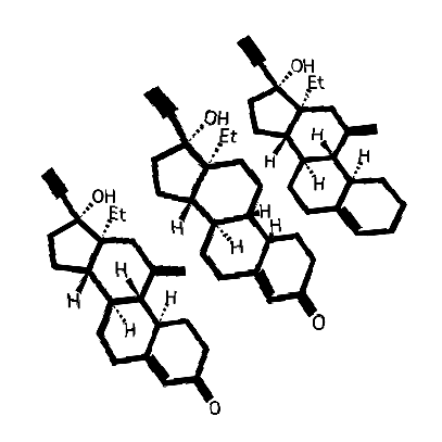 C#C[C@]1(O)CC[C@H]2[C@@H]3CCC4=CC(=O)CC[C@@H]4[C@H]3C(=C)C[C@@]21CC.C#C[C@]1(O)CC[C@H]2[C@@H]3CCC4=CC(=O)CC[C@@H]4[C@H]3CC[C@@]21CC.C#C[C@]1(O)CC[C@H]2[C@@H]3CCC4=CCCC[C@@H]4[C@H]3C(=C)C[C@@]21CC